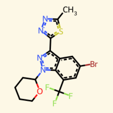 Cc1nnc(-c2nn(C3CCCCO3)c3c(C(F)(F)F)cc(Br)cc23)s1